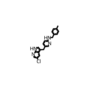 Cc1ccc(CNc2ccc(Cc3c[nH]c4ncc(Cl)cc34)cn2)cc1